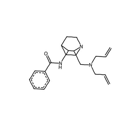 C=CCN(CC=C)CC1C(NC(=O)c2ccccc2)C2CCN1CC2